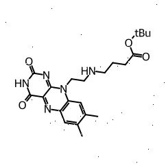 Cc1cc2nc3c(=O)[nH]c(=O)nc-3n(CCNCCCC(=O)OC(C)(C)C)c2cc1C